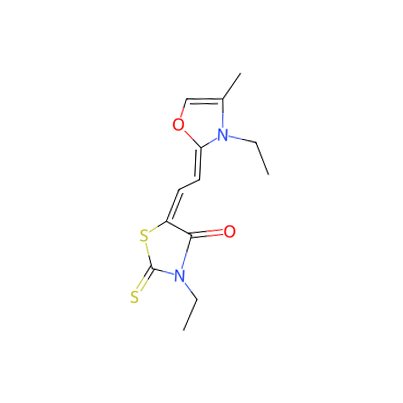 CCN1C(=O)/C(=C\C=C2/OC=C(C)N2CC)SC1=S